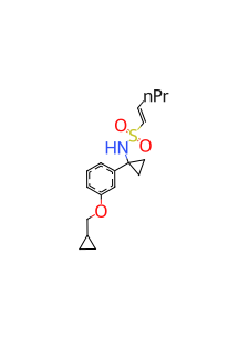 CCC/C=C/S(=O)(=O)NC1(c2cccc(OCC3CC3)c2)CC1